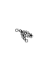 Cc1cn(CCOc2ccc(C3c4[nH]c5ccc(Cl)cc5c4CCN3C(=O)Oc3ccc(Cl)cc3)cc2)c(=N)s1